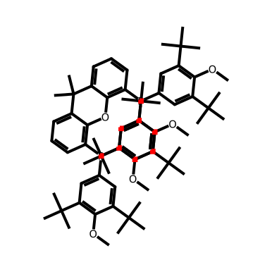 COc1ccc(P(c2cc(C(C)(C)C)c(OC)c(C(C)(C)C)c2)c2cccc3c2Oc2c(P(c4cc(C(C)(C)C)c(OC)c(C(C)(C)C)c4)c4cc(C(C)(C)C)c(OC)c(C(C)(C)C)c4)cccc2C3(C)C)cc1C(C)(C)C